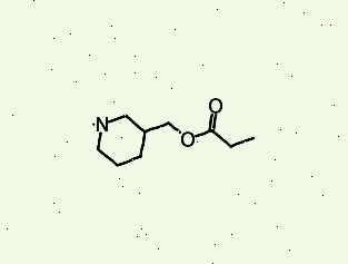 CCC(=O)OCC1CCC[N]C1